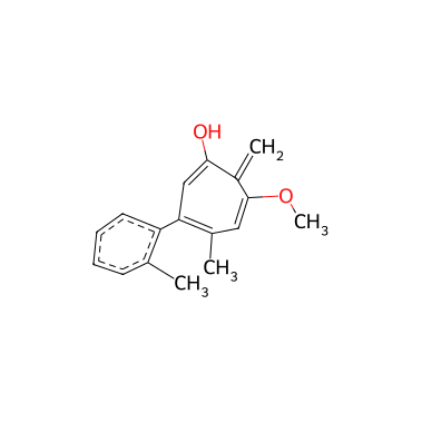 C=C1C(O)=CC(c2ccccc2C)=C(C)C=C1OC